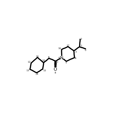 CC(C)C1CCN(C(=O)CC2CCCCC2)CC1